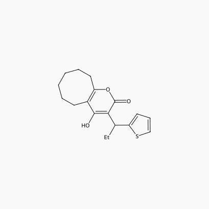 CCC(c1cccs1)c1c(O)c2c(oc1=O)CCCCCC2